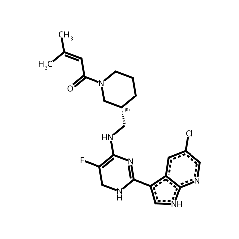 CC(C)=CC(=O)N1CCC[C@H](CNC2=C(F)CNC(c3c[nH]c4ncc(Cl)cc34)=N2)C1